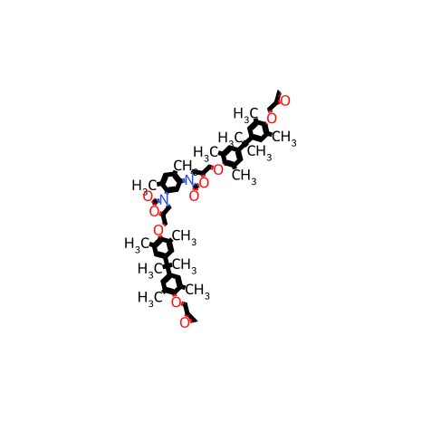 Cc1cc(C)c(N2CC(COc3c(C)cc(C(C)(C)c4cc(C)c(OCC5CO5)c(C)c4)cc3C)OC2=O)cc1N1CC(COc2c(C)cc(C(C)(C)c3cc(C)c(OCC4CO4)c(C)c3)cc2C)OC1=O